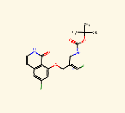 CC(C)(C)OC(=O)NC/C(=C\F)COc1cc(F)cc2c1C(=O)NCC2